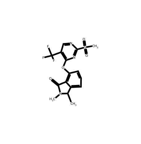 CC1c2cccc(Oc3nc(S(C)(=O)=O)ncc3C(F)(F)F)c2C(=O)N1C